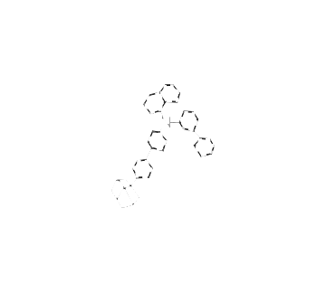 c1ccc(-c2cccc(N(c3ccc(-c4ccc(C56CC7CC(CC(C7)C5)C6)cc4)cc3)c3cccc4ccccc34)c2)cc1